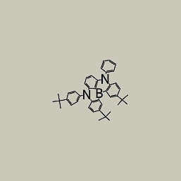 CC(C)(C)c1ccc(N2c3ccc(C(C)(C)C)cc3B3c4cc(C(C)(C)C)ccc4N(c4ccccc4)c4cccc2c43)cc1